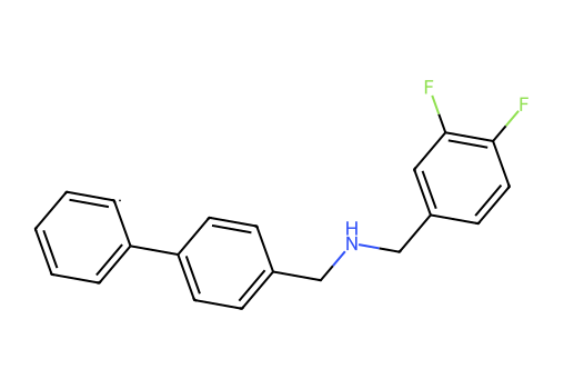 Fc1ccc(CNCc2ccc(-c3[c]cccc3)cc2)cc1F